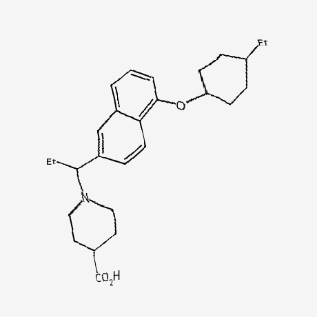 CCC1CCC(Oc2cccc3cc(C(CC)N4CCC(C(=O)O)CC4)ccc23)CC1